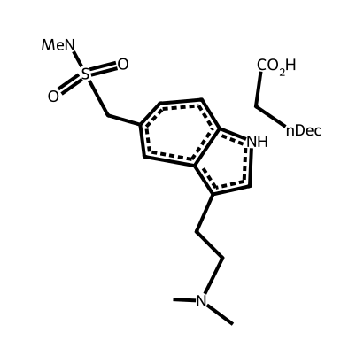 CCCCCCCCCCCC(=O)O.CNS(=O)(=O)Cc1ccc2[nH]cc(CCN(C)C)c2c1